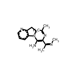 C/N=C(C)\C(N=C(C)C)=C(/N)N1CCc2ncccc21